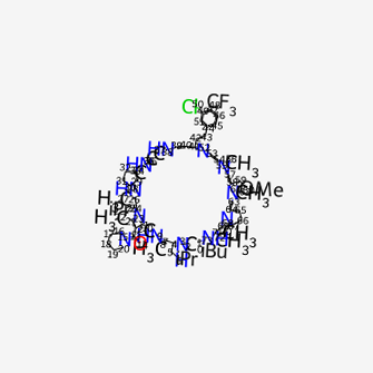 CC[C@H](C)[C@H]1CN[C@@H](CC(C)C)C(C)NCC2[C@@H](C(=O)N3CCCCC3)C(C)N2[C@@H](C(C)C)C(C)NC2(CCCC2)CNCCNC=CC(CCc2ccc(C(F)(F)F)c(Cl)c2)=NC=CN(C)C=C(COC)N(C)C=C2CCCN2[C@@H](C)C(C)N1